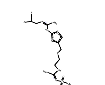 CN/C(=N/S(C)(=O)=O)NCCSCc1csc(N/C(N)=N\CC(F)F)n1